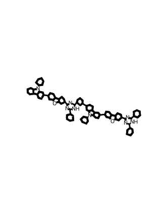 c1ccc(C2=NC(c3ccc4c(c3)oc3cc(-c5ccc6c(c5)c5ccc(-c7cccc(C8N=C(c9ccc%10c(c9)oc9cc(-c%11ccc%12c%13ccccc%13n(-c%13ccccc%13)c%12c%11)ccc9%10)N=C(c9ccccc9)N8)c7)cc5n6-c5ccccc5)ccc34)=NC(c3ccccc3)N2)cc1